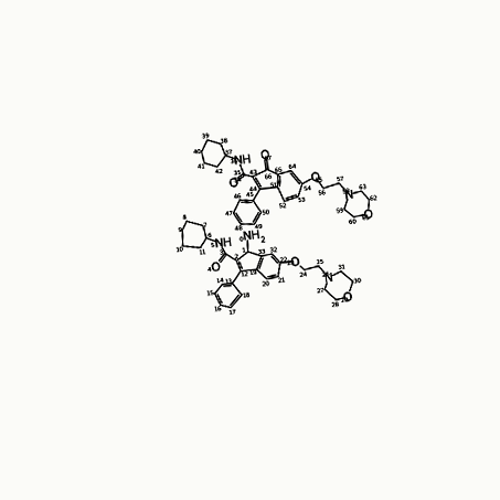 NC1C(C(=O)NC2CCCCC2)=C(c2ccccc2)c2ccc(OCCN3CCOCC3)cc21.O=C(NC1CCCCC1)C1=C(c2ccccc2)c2ccc(OCCN3CCOCC3)cc2C1=O